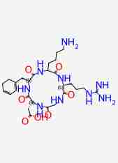 N=C(N)NCCC[C@@H]1NC(=O)C(CCCCN)NC(=O)[C@H](CC2=CC=CCC2)NC(=O)[C@@H](CC(=O)O)NC(=O)CNC1=O